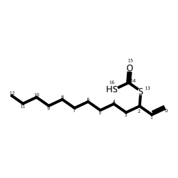 C=CC(CCCCCCCCCC)SC(=O)S